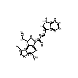 Cc1csc2c(O)cc3c(c12)C(CCl)CN3C(=O)/C=C/c1c[nH]c2ncccc12